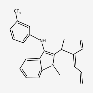 C=C/C=C(\C=C)C(C)c1c(Nc2cccc(C(F)(F)F)c2)c2ccccc2n1C